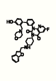 O=c1c2cc(F)cnc2n(-c2cccc(-c3ccc(O)cc3CN3CCOCC3)c2)c(=O)n1C1CCC(NCc2cc3ccccc3o2)CC1